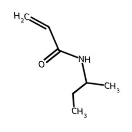 C=CC(=O)NC(C)CC